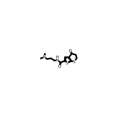 CN(C)CCCNC(=O)c1cc2c(s1)SCCC2=O